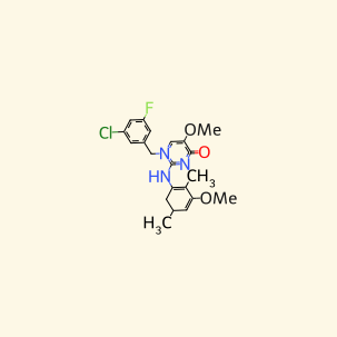 COC1=CC(C)CC(Nc2nc(=O)c(OC)cn2Cc2cc(F)cc(Cl)c2)=C1C